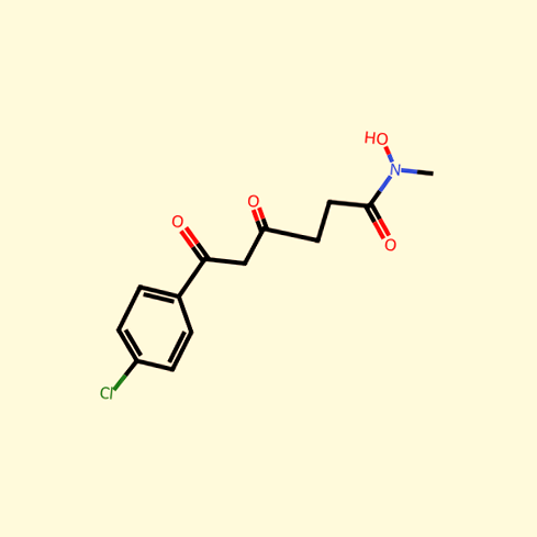 CN(O)C(=O)CCC(=O)CC(=O)c1ccc(Cl)cc1